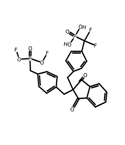 O=C1c2ccccc2C(=O)C1(Cc1ccc(CP(=O)(OF)OF)cc1)Cc1ccc(C(F)(F)P(=O)(O)O)cc1